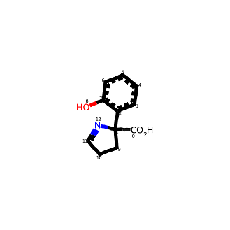 O=C(O)C1(c2ccccc2O)CCC=N1